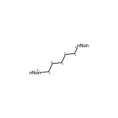 [CH2]CCCCCCCCCCCCCCCCCCCCCC